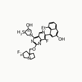 CCc1cccc2cc(O)cc(-c3ncc4c(N5C[SiH2][C@@H](O)C5)nc(OC[C@@]56CCCN5C[C@H](F)C6)nc4c3F)c12